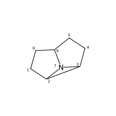 C1CC2C3CCC1N23